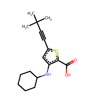 CC(C)(C)C#Cc1cc(NC2CCCCC2)c(C(=O)O)s1